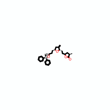 C=C1C[C@H](CCCO[Si](c2ccccc2)(c2ccccc2)C(C)(C)C)O[C@H]1CCC1C[C@@H](C)C(=O)O1